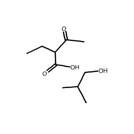 CC(C)CO.CCC(C(C)=O)C(=O)O